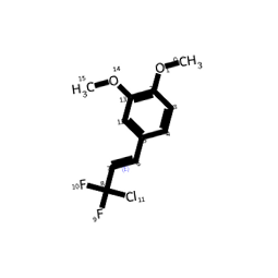 COc1ccc(/C=C/C(F)(F)Cl)cc1OC